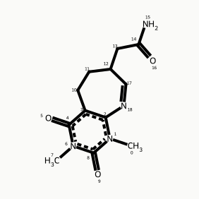 Cn1c2c(c(=O)n(C)c1=O)CCC(CC(N)=O)C=N2